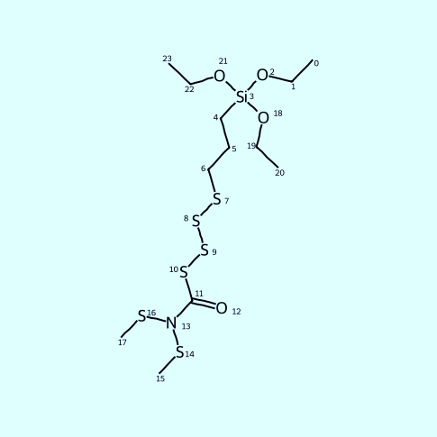 CCO[Si](CCCSSSSC(=O)N(SC)SC)(OCC)OCC